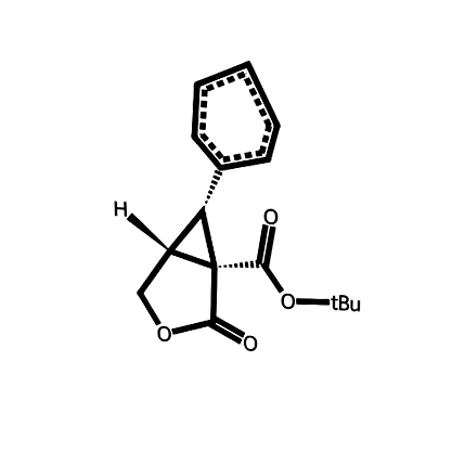 CC(C)(C)OC(=O)[C@]12C(=O)OC[C@@H]1[C@@H]2c1ccccc1